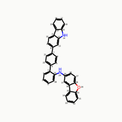 c1ccc(-c2ccc(-c3ccc4c(c3)[nH]c3ccccc34)cc2)c(Nc2ccc3oc4ccccc4c3c2)c1